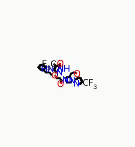 O=C(CCOCC(Cc1ccccc1)Nc1cn[nH]c(=O)c1C(F)(F)F)N1CCN2c3ncc(C(F)(F)F)cc3OCCC2C1